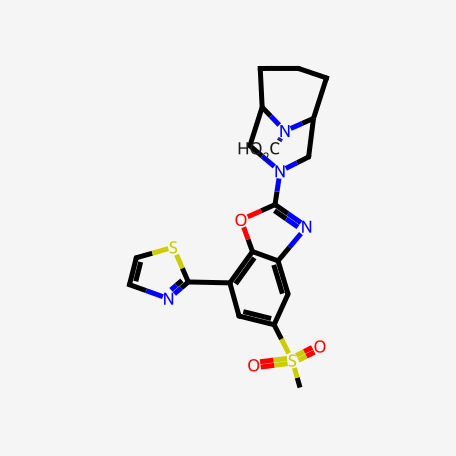 CS(=O)(=O)c1cc(-c2nccs2)c2oc(N3CC4CCCC(C3)N4C(=O)O)nc2c1